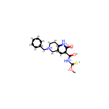 COC(=S)NC(=O)c1cc2c([nH]c1=O)CCN(Cc1ccccc1)C2